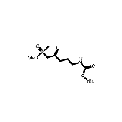 COP(C)(=O)CC(=O)CCCNC(=O)OC(C)(C)C